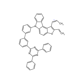 C=Cc1oc2ccc3c(c4ccccc4n3-c3cccc(-c4cccc(-c5nc(-c6ccccc6)nc(-c6ccccc6)n5)c4)c3)c2c1/C=C\C